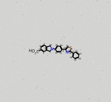 O=C(O)c1ccc2c(c1)CN(c1ccc(-c3csc(-c4ccccc4)n3)cc1)C2